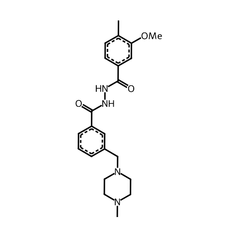 COc1cc(C(=O)NNC(=O)c2cccc(CN3CCN(C)CC3)c2)ccc1C